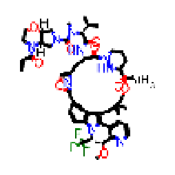 C=CC(=O)N1CCO[C@H]2CN(C(=O)N(C)[C@H](C(=O)N[C@H]3Cc4coc(n4)-c4ccc5c(c4)c(c(-c4cccnc4[C@H](C)OC)n5CC(F)(F)F)CC(C)(C)COC[C@]4(C(=O)[SiH3])CCCN(N4)C3=O)C(C)C)C[C@H]21